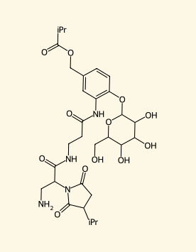 CC(C)C(=O)OCc1ccc(OC2OC(CO)C(O)C(O)C2O)c(NC(=O)CCNC(=O)C(CN)N2C(=O)CC(C(C)C)C2=O)c1